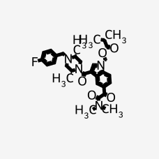 CC(C)C(=O)OCn1cc(C(=O)N2C[C@H](C)N(Cc3ccc(F)cc3)C[C@H]2C)c2cc(C(=O)C(=O)N(C)C)ccc21